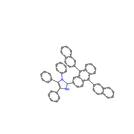 c1ccc(C2=C(c3ccccc3)N(c3ccccc3)C(c3ccc4c(-c5ccc6ccccc6c5)c5ccccc5c(-c5ccc6ccccc6c5)c4c3)N2)cc1